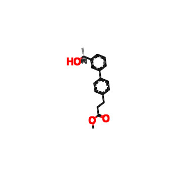 COC(=O)CCc1ccc(-c2cccc([C@@H](C)O)c2)cc1